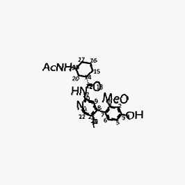 COc1cc(O)ccc1-c1cc(NC(=O)[C@H]2CCC[C@@H](NC(C)=O)C2)ncc1F